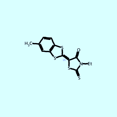 CCN1C(=O)/C(=C2\Sc3ccc(C)cc3S2)SC1=S